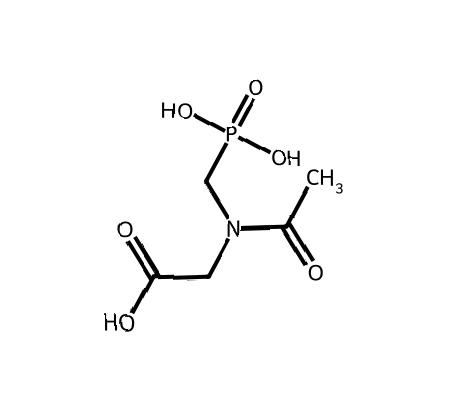 CC(=O)N(CC(=O)O)CP(=O)(O)O